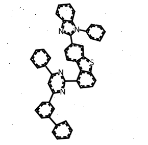 c1ccc(-c2cccc(-c3cc(-c4ccccc4)nc(-c4cccc5sc6cc(-c7nc8ccccc8n7-c7ccccc7)ccc6c45)n3)c2)cc1